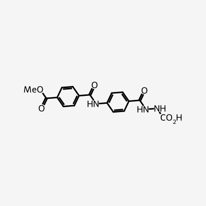 COC(=O)c1ccc(C(=O)Nc2ccc(C(=O)NNC(=O)O)cc2)cc1